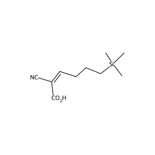 C[Si](C)(C)CCCC=C(C#N)C(=O)O